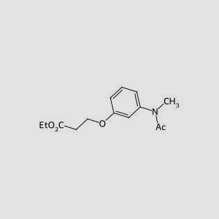 CCOC(=O)CCOc1cccc(N(C)C(C)=O)c1